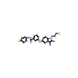 Cc1c(C)n(CCCCl)c2ccc(Oc3cccc(C(=O)Nc4ccc(F)cc4)c3)cc12